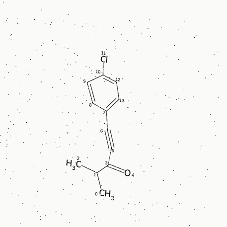 CC(C)C(=O)C#Cc1ccc(Cl)cc1